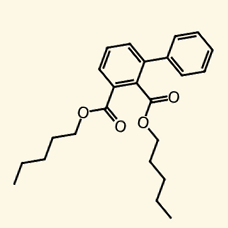 CCCCCOC(=O)c1cccc(-c2ccccc2)c1C(=O)OCCCCC